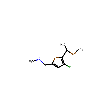 CNCc1cc(F)c(C(C)SC)s1